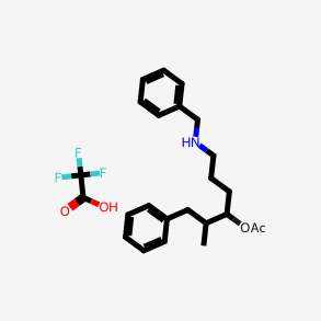 CC(=O)OC(CCCNCc1ccccc1)C(C)Cc1ccccc1.O=C(O)C(F)(F)F